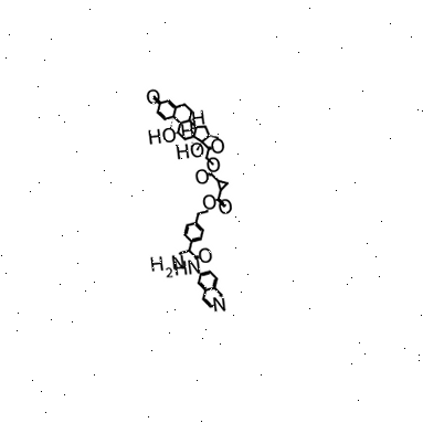 C[C@@H]1C[C@H]2[C@@H]3CCC4=CC(=O)C=C[C@]4(C)C3[C@@H](O)C[C@]2(C)[C@@]1(O)C(=O)COC(=O)C1CC1C(=O)OCCc1ccc(C(CN)C(=O)Nc2ccc3cnccc3c2)cc1